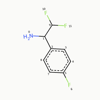 NC(c1ccc(F)cc1)C(F)F